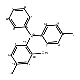 Cc1ccc(N(c2ccccc2)c2ccc(C)cc2F)cc1